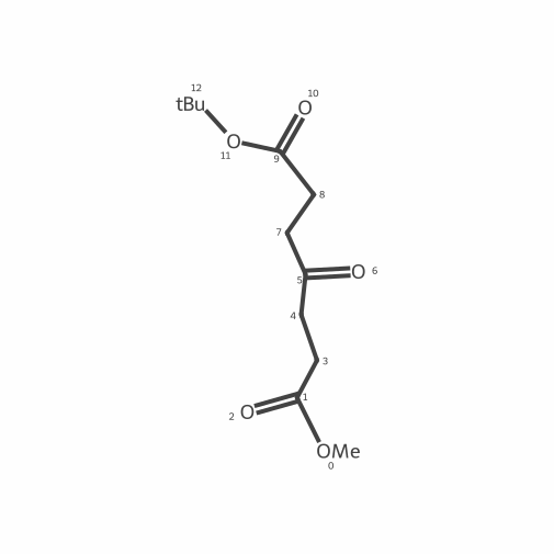 COC(=O)CCC(=O)CCC(=O)OC(C)(C)C